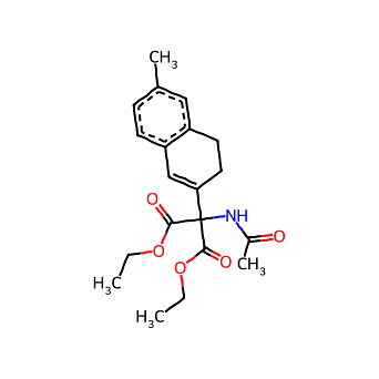 CCOC(=O)C(NC(C)=O)(C(=O)OCC)C1=Cc2ccc(C)cc2CC1